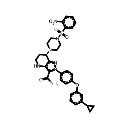 NC(=O)c1c2c(nn1-c1ccc(Oc3cccc(C4CC4)c3)cc1)[C@H](N1CCN(S(=O)(=O)c3ccccc3[N+](=O)[O-])CC1)CCN2